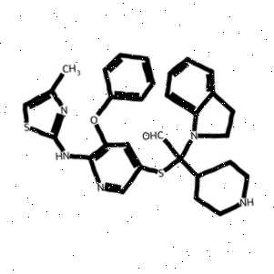 Cc1csc(Nc2ncc(SC(C=O)(C3CCNCC3)N3CCc4ccccc43)cc2Oc2ccccc2)n1